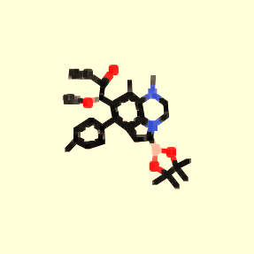 COC(=O)[C@@H](OC(C)(C)C)c1c(C)c2c3c(cc(B4OC(C)(C)C(C)(C)O4)n3CCN2C)c1-c1ccc(C)cc1